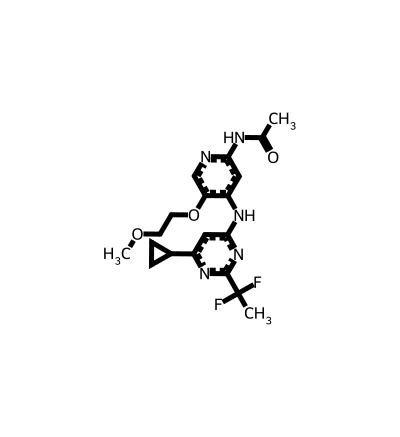 COCCOc1cnc(NC(C)=O)cc1Nc1cc(C2CC2)nc(C(C)(F)F)n1